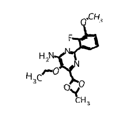 CCOc1c(N)nc(-c2cccc(OC)c2F)nc1C1OC(C)O1